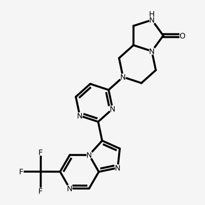 O=C1NCC2CN(c3ccnc(-c4cnc5cnc(C(F)(F)F)cn45)n3)CCN12